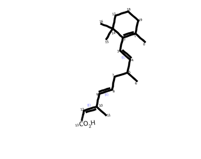 CC1=C(/C=C/C(C)C/C=C/C(C)=C/C(=O)O)C(C)(C)CCC1